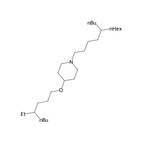 CCCCCCC(CCCC)CCCCN1CCC(OCCCC(CC)CCCC)CC1